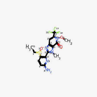 CC[S+]([O-])c1ccc(N)nc1-c1nc2cc(C(F)(F)F)n(OC)c(=O)c2n1C